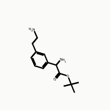 CC(C)(C)OC(=O)C(N)c1cccc(CCN)c1